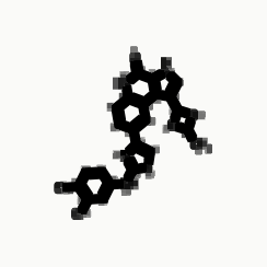 CC1OC(c2c[nH]c3c(=O)[nH]c4ccc(-c5csc(Nc6ccc(Cl)c(Cl)c6)n5)cc4c23)O1